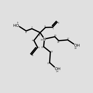 C=CCC(CC=C)(CCO)N(CCCO)CCCO